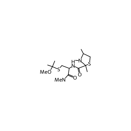 CNC(=O)C(CSC(C)(C)OC)NC(=O)C1(C)SCC(C)N1C